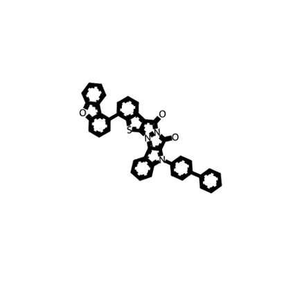 O=c1c2c3cccc(-c4cccc5oc6ccccc6c45)c3sc2n2c3c4ccccc4n(-c4ccc(-c5ccccc5)cc4)c3c(=O)n12